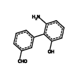 Nc1cccc(O)c1-c1cccc(C=O)c1